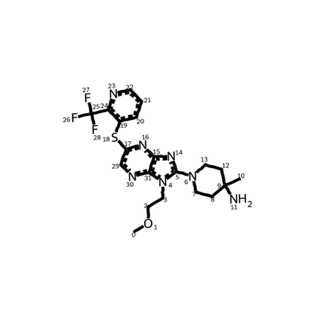 COCCn1c(N2CCC(C)(N)CC2)nc2nc(Sc3cccnc3C(F)(F)F)cnc21